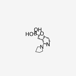 OB(O)c1cc2c(N3CCCC3)nccc2o1